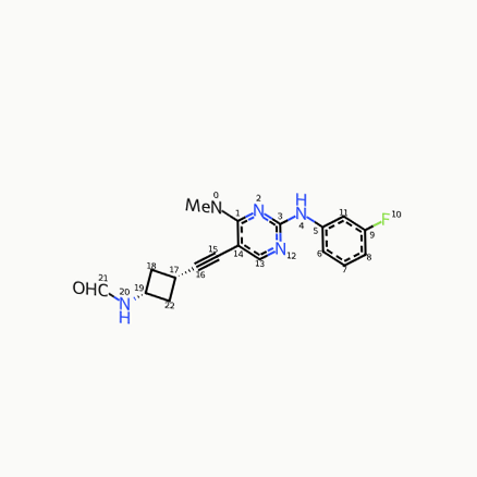 CNc1nc(Nc2cccc(F)c2)ncc1C#C[C@H]1C[C@@H](NC=O)C1